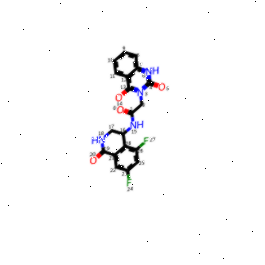 O=C(Cn1c(=O)[nH]c2ccccc2c1=O)NC1CNC(=O)c2cc(F)cc(F)c21